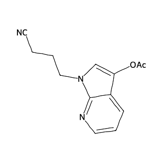 CC(=O)Oc1cn(CCCC#N)c2ncccc12